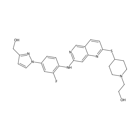 OCCN1CCC(Sc2ccc3cnc(Nc4ccc(-n5ccc(CO)n5)cc4F)cc3n2)CC1